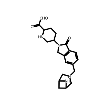 O=CC(=O)C1CCC(N2Cc3cc(CN4CC5CC(C4)N5)ccc3C2=O)CN1